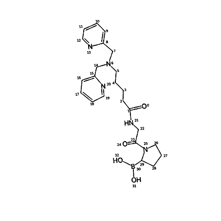 O=C(CCCCN(Cc1ccccn1)Cc1ccccn1)NCC(=O)N1CCCC1B(O)O